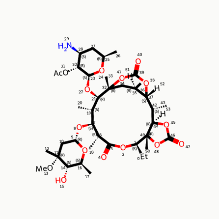 CC[C@H]1OC(=O)[C@H](C)[C@@H](O[C@H]2C[C@@](C)(OC)[C@@H](O)[C@H](C)O2)[C@H](C)[C@@H](O[C@@H]2O[C@H](C)C[C@H](N)[C@H]2OC(C)=O)[C@@]2(C)C[C@@H](C)[C@H](OC(=O)O2)[C@H](C)[C@H]2OC(=O)O[C@@]21C